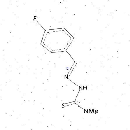 CNC(=S)N/N=C/c1ccc(F)cc1